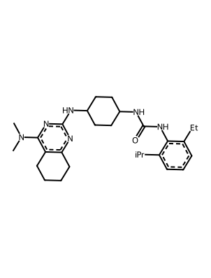 CCc1cccc(C(C)C)c1NC(=O)NC1CCC(Nc2nc3c(c(N(C)C)n2)CCCC3)CC1